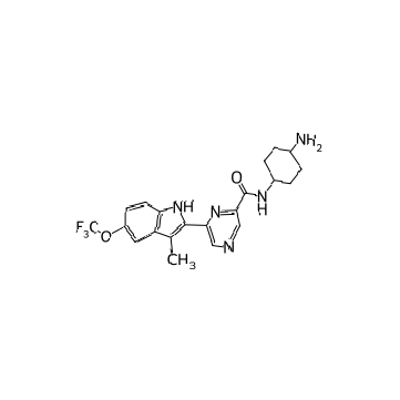 Cc1c(-c2cncc(C(=O)NC3CCC(N)CC3)n2)[nH]c2ccc(OC(F)(F)F)cc12